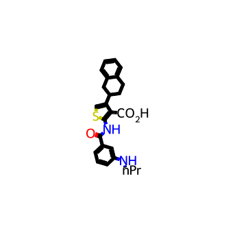 CCCNc1cccc(C(=O)Nc2scc(C3CCc4ccccc4C3)c2C(=O)O)c1